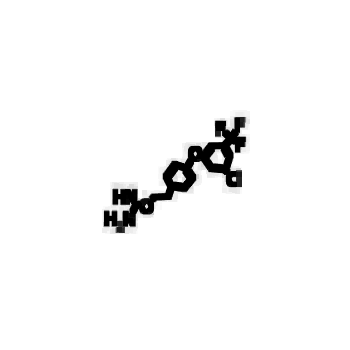 N=C(N)OCCc1ccc(Oc2cc(Cl)cc(C(F)(F)F)c2)cc1